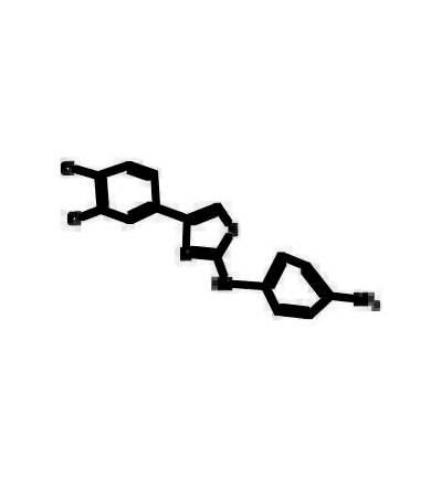 Nc1ccc(Nc2nc(-c3ccc(Cl)c(Cl)c3)cs2)cc1